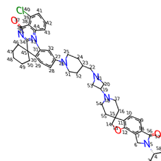 O=C1CC[C@H](N2Cc3c(ccc4c3OCC43CCN(C4CN(CC5CCN(c6ccc7c(c6)-n6c(nc(=O)c8c(Cl)cccc86)C76CCCCC6)CC5)C4)CC3)C2=O)C(=O)N1